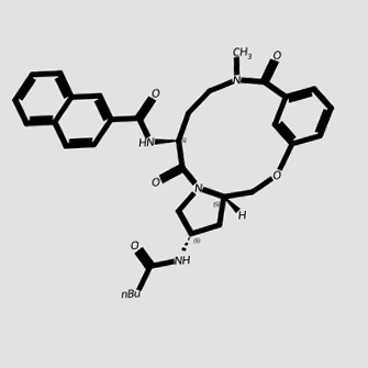 CCCCC(=O)N[C@H]1C[C@H]2COc3cccc(c3)C(=O)N(C)CC[C@H](NC(=O)c3ccc4ccccc4c3)C(=O)N2C1